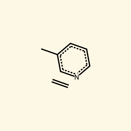 C=C.Cc1cccnc1